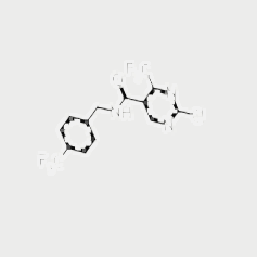 O=C(NCc1ccc(C(F)(F)F)cc1)c1cnc(Cl)nc1C(F)(F)F